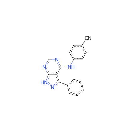 N#Cc1ccc(Nc2ncnc3[nH]nc(-c4ccccc4)c23)cc1